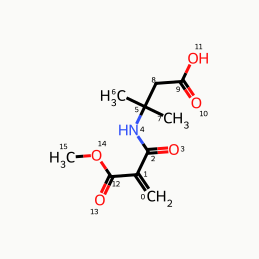 C=C(C(=O)NC(C)(C)CC(=O)O)C(=O)OC